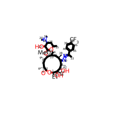 CC[C@H]1OC(=O)[C@H](C)C[C@H](C)[C@@H](OC2OC(C)CC(N(C)C)C2O)[C@](C)(OC)C[C@@H](C)/C(=N\N=C(/C)c2ccc(C(F)(F)F)cc2)[C@H](C)[C@@H](O)[C@]1(C)O